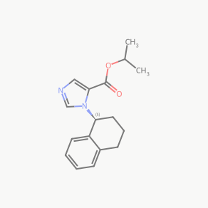 CC(C)OC(=O)c1cncn1[C@H]1CCCc2ccccc21